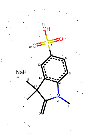 C=C1N(C)c2ccc(S(=O)(=O)O)cc2C1(C)C.[NaH]